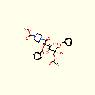 CC(C)(C)OC(=O)N1CCN(C(=O)[C@H](OCc2ccccc2)[C@@H](O)[C@H](O)[C@@](O)(COCc2ccccc2)COC(=O)C(C)(C)C)CC1